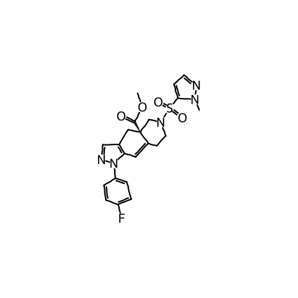 COC(=O)[C@]12Cc3cnn(-c4ccc(F)cc4)c3C=C1CCN(S(=O)(=O)c1ccnn1C)C2